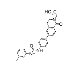 Cc1cccc(NC(=O)Nc2ccc(-c3ccc4c(c3)CCN(CC(=O)O)C4=O)cc2)c1